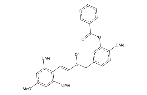 COc1cc(OC)c(/C=C/[S+]([O-])Cc2ccc(OC)c(OC(=O)c3ccccc3)c2)c(OC)c1